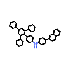 c1ccc(-c2cc(-c3ccccc3)c(-c3ccc(Nc4ccc(-c5ccc6ccccc6c5)cc4)cc3)c(-c3ccccc3)c2)cc1